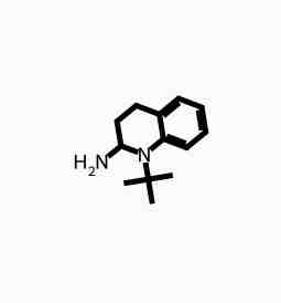 CC(C)(C)N1c2ccccc2CCC1N